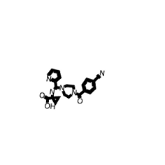 N#Cc1ccc(C(=O)N2CCN(C(=NC3(C(=O)O)CC3)c3ccccn3)CC2)cc1